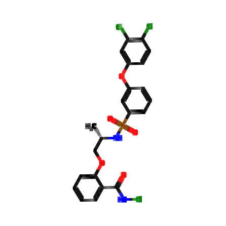 C[C@@H](COc1ccccc1C(=O)NCl)NS(=O)(=O)c1cccc(Oc2ccc(Cl)c(Cl)c2)c1